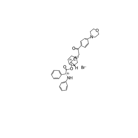 O=C(C[N+]12CCC(CC1)[C@@H](OC(=O)[C@H](Nc1ccccc1)c1ccccc1)C2)c1ccc(N2CCOCC2)cc1.[Br-]